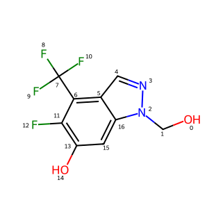 OCn1ncc2c(C(F)(F)F)c(F)c(O)cc21